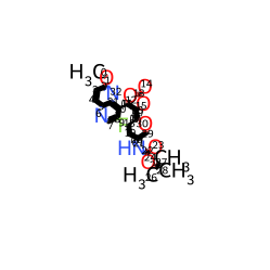 COc1ccc2ncc(F)c([C@H]3OC(=O)O[C@@H]3[C@@H]3CC[C@@H](NC(=O)OC(C)(C)C)CO3)c2n1